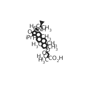 CC(C)C1=C2[C@H]3CCC4C(C)(CCC5C4(C)CC[C@H](OC(=O)CC(C)(C)C(=O)O)C5(C)C)C3CC[C@@]2(C(=O)NC(C)(C)C2CC2)CC1=O